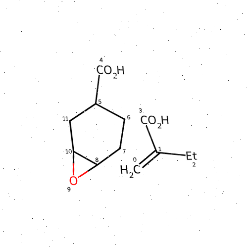 C=C(CC)C(=O)O.O=C(O)C1CCC2OC2C1